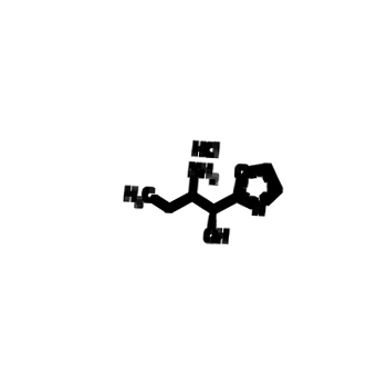 CCC(N)[C@H](O)c1ncco1.Cl